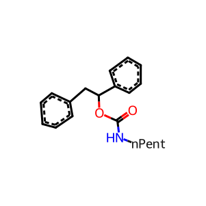 [CH2]CCCCNC(=O)OC(Cc1ccccc1)c1ccccc1